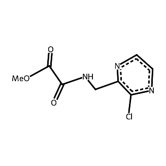 COC(=O)C(=O)NCc1nccnc1Cl